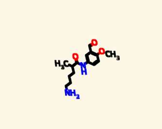 COc1ccc(NC(=O)C(C)CCCCN)cc1C=O